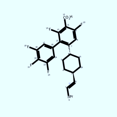 CCC/C=C/[C@H]1CC[C@H](c2cc(F)c(C(=O)O)c(F)c2-c2cc(F)c(F)c(F)c2)CC1